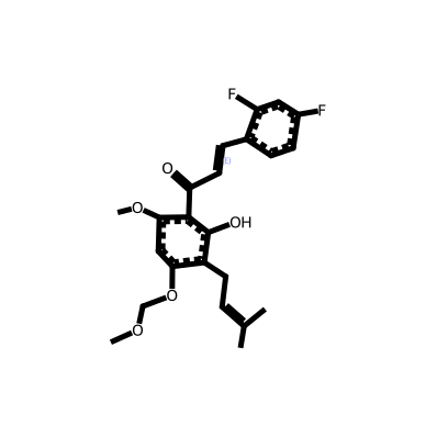 COCOc1cc(OC)c(C(=O)/C=C/c2ccc(F)cc2F)c(O)c1CC=C(C)C